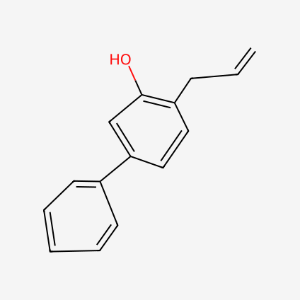 C=CCc1ccc(-c2ccccc2)cc1O